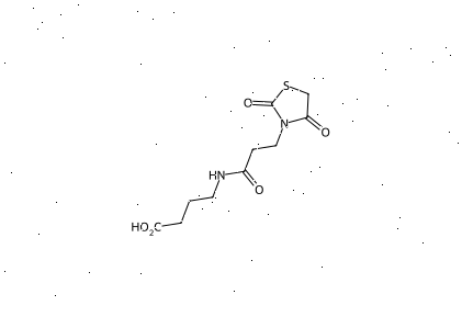 O=C(O)CCCNC(=O)CCN1C(=O)CSC1=O